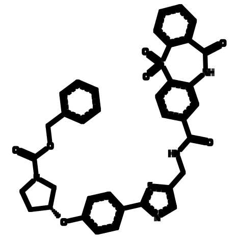 O=C(NCc1cnc(-c2ccc(O[C@@H]3CCN(C(=O)OCc4ccccc4)C3)cc2)s1)c1ccc2c(c1)NC(=O)c1ccccc1S2(=O)=O